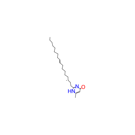 CCCCCCCCC=CCCCCC[CH]CCc1nc(=O)cc(C)[nH]1